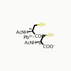 CC(=O)N[C@@H](CS)C(=O)[O-].CC(=O)N[C@@H](CS)C(=O)[O-].[Pb+2]